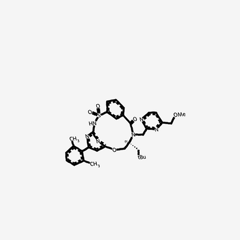 COCc1ccnc(CN2C(=O)c3cccc(c3)S(=O)(=O)Nc3nc(cc(-c4c(C)cccc4C)n3)OC[C@H]2CC(C)(C)C)n1